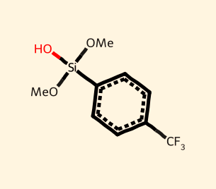 CO[Si](O)(OC)c1ccc(C(F)(F)F)cc1